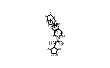 CN1CC2CCC(C1)N2c1nc2c(s1)CN(C(=O)NC1CCCC1)CC2